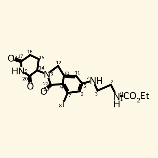 CCOC(=O)NCCNc1cc(I)c2c(c1)CN(C1CCC(=O)NC1=O)C2=O